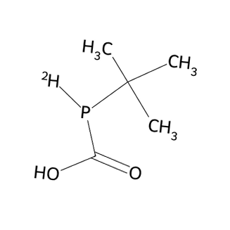 [2H]P(C(=O)O)C(C)(C)C